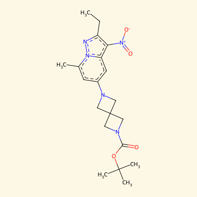 CCc1nn2c(C)cc(N3CC4(CN(C(=O)OC(C)(C)C)C4)C3)cc2c1[N+](=O)[O-]